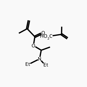 C=C(C)C(=O)O.C=C(C)C(=O)OC(C)N(CC)CC